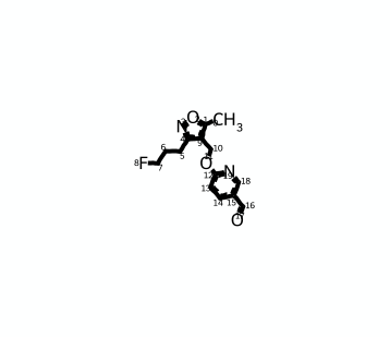 Cc1onc(CCCF)c1COc1ccc(C=O)cn1